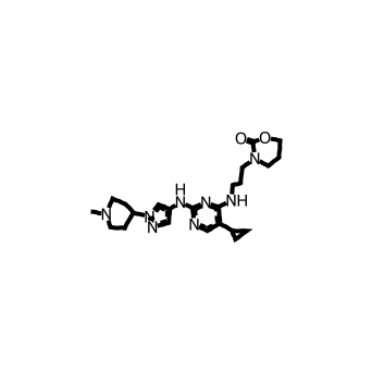 CN1CCC(n2cc(Nc3ncc(C4CC4)c(NCCCN4CCCOC4=O)n3)cn2)CC1